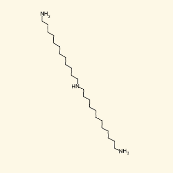 NCCCCCCCCCCCCNCCCCCCCCCCCCN